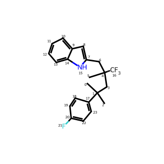 CC(C)(CC(C)(Cc1cc2ccccc2[nH]1)C(F)(F)F)c1ccc(F)cc1